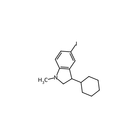 CN1CC(C2CCCCC2)c2cc(I)ccc21